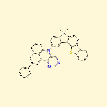 CC1(C)c2ccc(N3c4cncnc4-c4cc(-c5ccccc5)cc5cccc3c45)cc2-c2c1ccc1c2sc2ccccc21